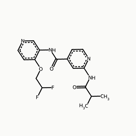 CC(C)C(=O)Nc1cc(C(=O)Nc2cnccc2OCC(F)F)ccn1